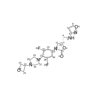 O=C1O[C@@H](CNc2ccon2)CN1c1cc(F)c(N2CCN(C3COC3)CC2)c(F)c1